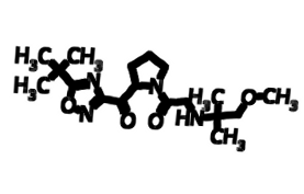 COCC(C)(C)NCC(=O)N1CCCC1C(=O)c1noc(C(C)(C)C)n1